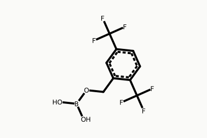 OB(O)OCc1cc(C(F)(F)F)ccc1C(F)(F)F